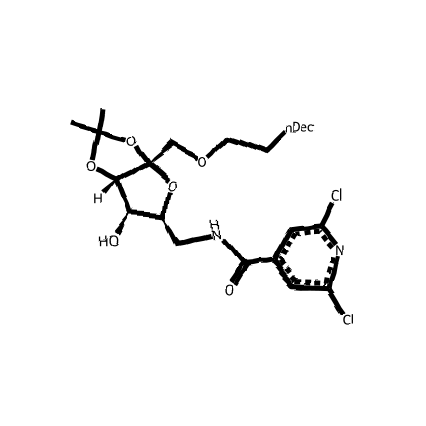 CCCCCCCCCCCCOC[C@@]12O[C@@H](CNC(=O)c3cc(Cl)nc(Cl)c3)[C@@H](O)[C@@H]1OC(C)(C)O2